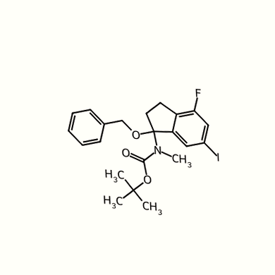 CN(C(=O)OC(C)(C)C)C1(OCc2ccccc2)CCc2c(F)cc(I)cc21